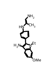 CCn1c(-c2ccc(N/C(C)=C/N)cc2)c(N)c2ccc(OC)cc21